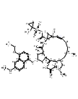 CCOc1cnc(O[C@@H]2C[C@H]3C(=O)N[C@]4(C(=O)NS(=O)(=O)C5(C)CC5)C[C@H]4/C=C\CC[C@H](C)C[C@@H](COC)[C@H](NC(=O)O)C(=O)N3C2)c2ccc(OC)cc12